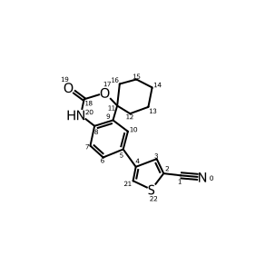 N#Cc1cc(-c2ccc3c(c2)C2(CCCCC2)OC(=O)N3)cs1